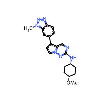 CO[C@H]1CC[C@@H](Nc2ncc3c(-c4ccc5nnn(C)c5c4)ccn3n2)CC1